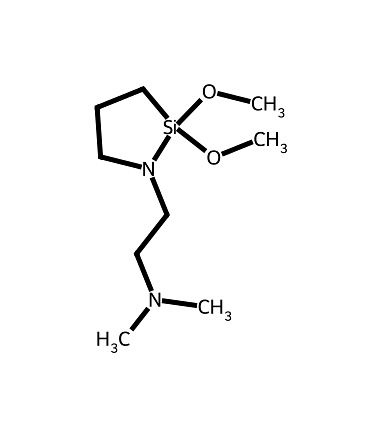 CO[Si]1(OC)CCCN1CCN(C)C